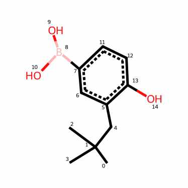 CC(C)(C)Cc1cc(B(O)O)ccc1O